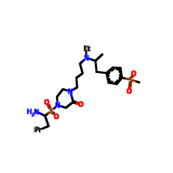 CCN(CCCCN1CCN(S(=O)(=O)C(N)CC(C)C)CC1=O)C(C)Cc1ccc(S(C)(=O)=O)cc1